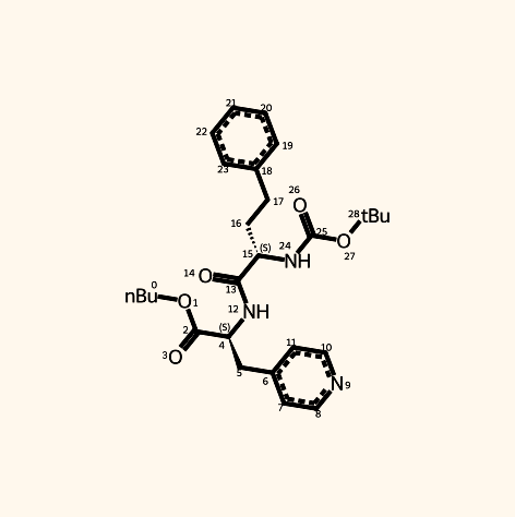 CCCCOC(=O)[C@H](Cc1ccncc1)NC(=O)[C@H](CCc1ccccc1)NC(=O)OC(C)(C)C